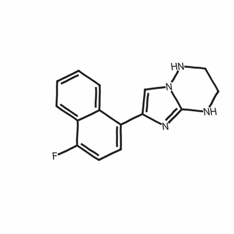 Fc1ccc(-c2cn3c(n2)NCCN3)c2ccccc12